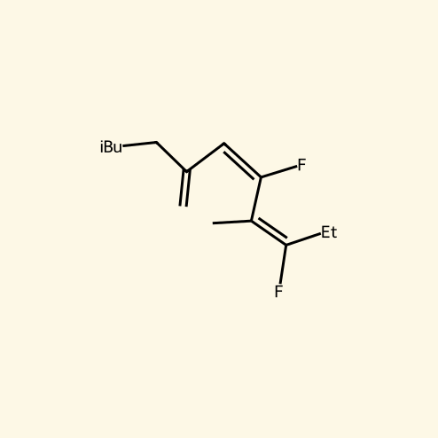 C=C(/C=C(F)\C(C)=C(\F)CC)CC(C)CC